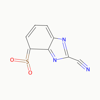 N#CC1=NC2=CC=CC(=S(=O)=O)C2=N1